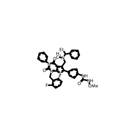 CCC(c1ccccc1)N(C)Cc1c(-c2ccc(NC(=O)NOC)cc2)sc2c1c(=O)n(-c1ccccc1)c(=O)n2Cc1c(F)cccc1F